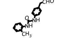 Cc1ccccc1NC(=O)Nc1ccc(CC=O)cc1